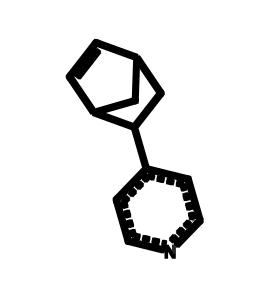 C1=CC2CC1CC2c1ccncc1